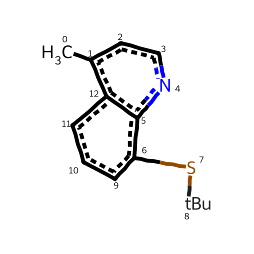 Cc1ccnc2c(SC(C)(C)C)cccc12